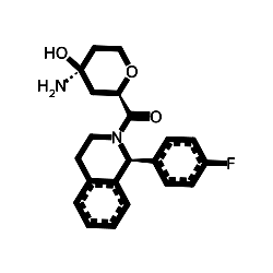 N[C@]1(O)CCO[C@@H](C(=O)N2CCc3ccccc3[C@@H]2c2ccc(F)cc2)C1